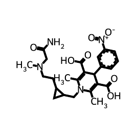 CC1=C(C(=O)O)C(c2cccc([N+](=O)[O-])c2)C(C(=O)O)=C(C)N1CC1CC1CCN(C)CC(N)=O